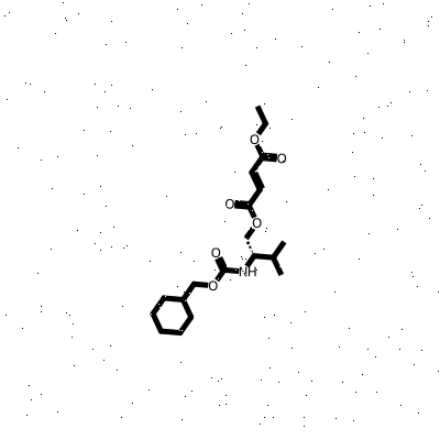 CCOC(=O)/C=C/C(=O)OC[C@@H](NC(=O)OCC1CCCCC1)C(C)C